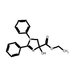 CCOC(=O)C1(O)CN(c2ccccc2)C(c2ccccc2)=N1